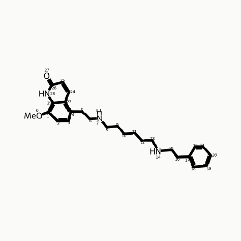 COc1ccc(CCNCCCCCCNCCc2ccccc2)c2ccc(=O)[nH]c12